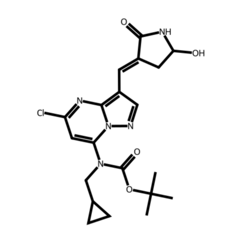 CC(C)(C)OC(=O)N(CC1CC1)c1cc(Cl)nc2c(/C=C3\CC(O)NC3=O)cnn12